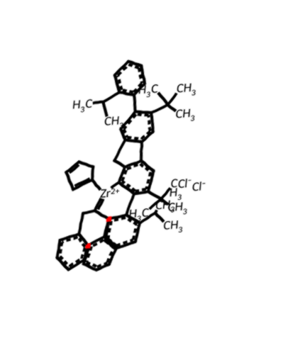 CC(C)c1ccccc1-c1cc2c(cc1C(C)(C)C)-c1cc(C(C)(C)C)c(-c3ccccc3C(C)C)[c]([Zr+2]([C]3=CC=CC3)=[C](Cc3ccccc3)Cc3ccccc3)c1C2.[Cl-].[Cl-]